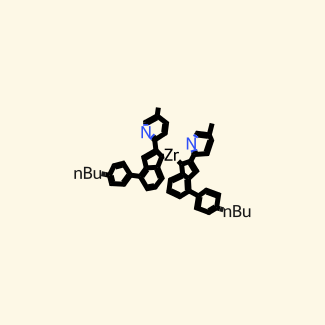 CCCCc1ccc(-c2cccc3c2C=C(c2ccc(C)cn2)[CH]3[Zr][CH]2C(c3ccc(C)cn3)=Cc3c(-c4ccc(CCCC)cc4)cccc32)cc1